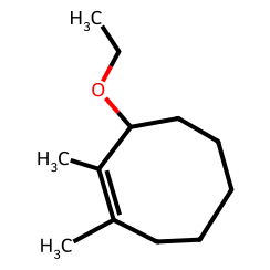 CCOC1CCCCC/C(C)=C\1C